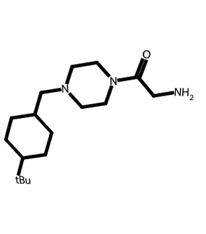 CC(C)(C)C1CCC(CN2CCN(C(=O)CN)CC2)CC1